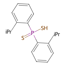 CC(C)c1ccccc1P(=S)(S)c1ccccc1C(C)C